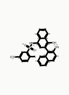 Cc1ccc([N+](=O)[O-])cc1S(=O)(=O)Nc1cc(-c2c(O)ccc3ccccc23)c(O)c2ccccc12